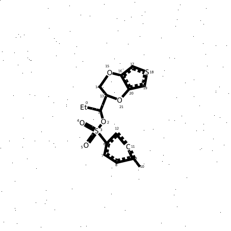 CCC(OS(=O)(=O)c1ccc(C)cc1)C1COc2cscc2O1